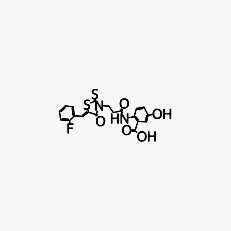 O=C(CCN1C(=O)/C(=C/c2ccccc2F)SC1=S)Nc1ccc(O)cc1C(=O)O